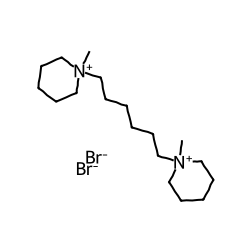 C[N+]1(CCCCCC[N+]2(C)CCCCC2)CCCCC1.[Br-].[Br-]